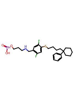 O=[PH](O)OCCCNCc1cc(F)c(SCCCCC2(c3ccccc3)CCCCC2)cc1F